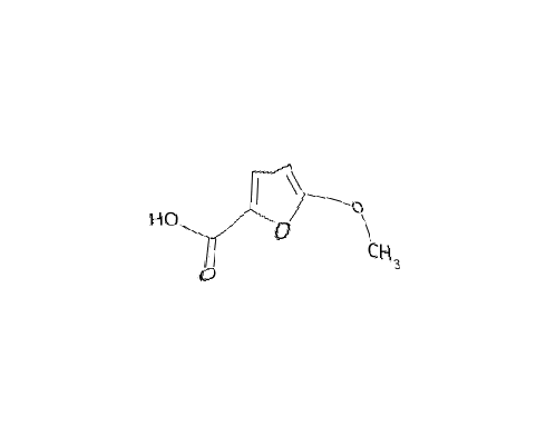 COc1ccc(C(=O)O)o1